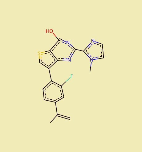 C=C(C)c1ccc(-c2csc3c(O)nc(-c4nccn4C)nc23)c(F)c1